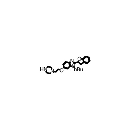 CCCCn1c(C2Cc3ccccc3O2)nc2ccc(OCCN3CCNCC3)cc21